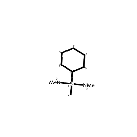 CN[Si](C)(NC)C1CCCCC1